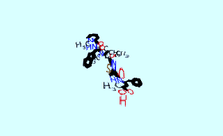 CCO[C@H](C[C@H](C(C)C)N(C)C(=O)C(NC(=O)C1CCCCN1C)C1Cc2ccccc2C1)c1nc(C(=O)N[C@@H](Cc2ccccc2)C[C@H](C)C(=O)O)cs1